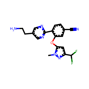 Cn1nc(C(F)F)cc1Oc1cc(C#N)ccc1-c1ncc(CCN)cn1